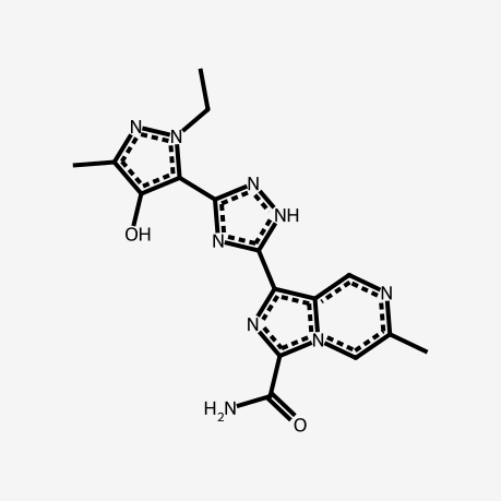 CCn1nc(C)c(O)c1-c1n[nH]c(-c2nc(C(N)=O)n3cc(C)ncc23)n1